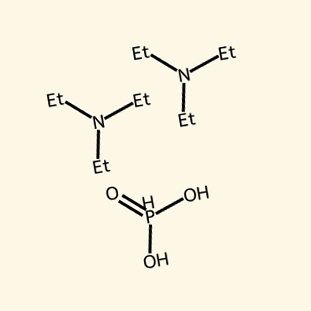 CCN(CC)CC.CCN(CC)CC.O=[PH](O)O